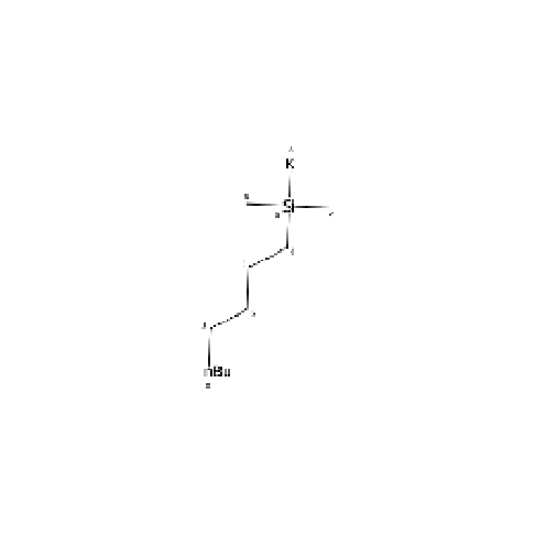 CCCCCCCC[Si](C)(C)[K]